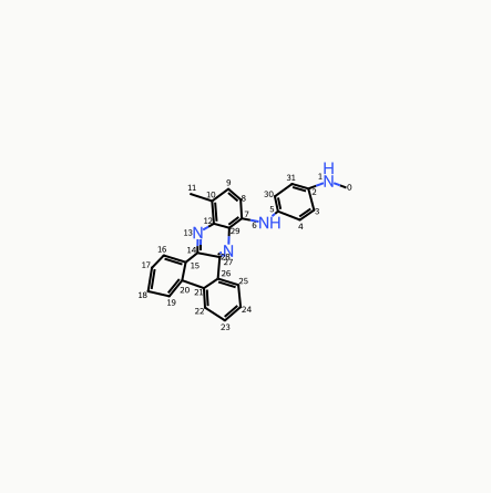 CNc1ccc(Nc2ccc(C)c3nc4c5ccccc5c5ccccc5c4nc23)cc1